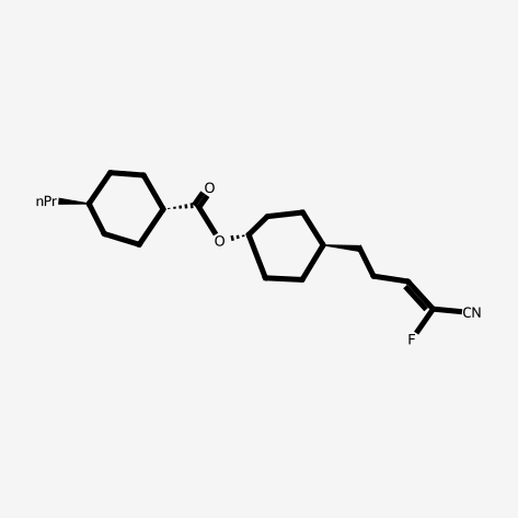 CCC[C@H]1CC[C@H](C(=O)O[C@H]2CC[C@H](CCC=C(F)C#N)CC2)CC1